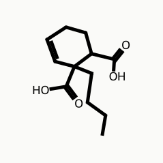 CCCCC1(C(=O)O)C=CCCC1C(=O)O